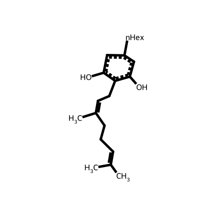 CCCCCCc1cc(O)c(CC=C(C)CCC=C(C)C)c(O)c1